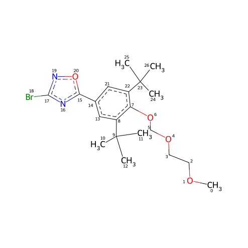 COCCOCOc1c(C(C)(C)C)cc(-c2nc(Br)no2)cc1C(C)(C)C